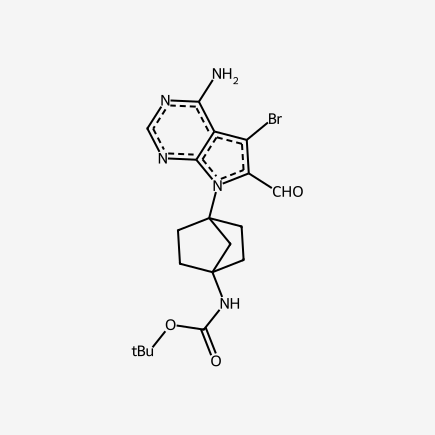 CC(C)(C)OC(=O)NC12CCC(n3c(C=O)c(Br)c4c(N)ncnc43)(CC1)C2